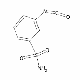 NS(=O)(=O)c1cccc(N=C=O)c1